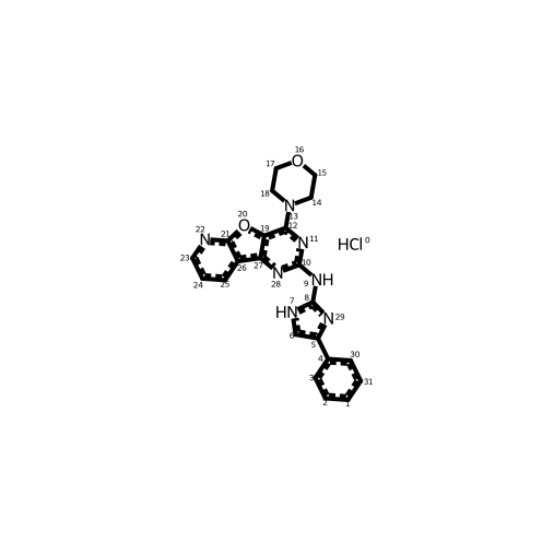 Cl.c1ccc(-c2c[nH]c(Nc3nc(N4CCOCC4)c4oc5ncccc5c4n3)n2)cc1